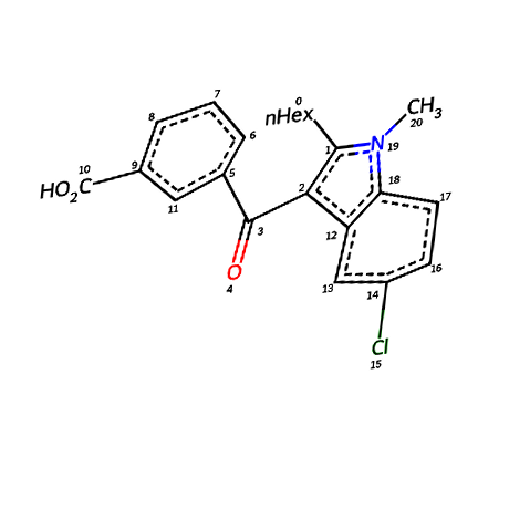 CCCCCCc1c(C(=O)c2cccc(C(=O)O)c2)c2cc(Cl)ccc2n1C